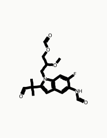 COC(COC=O)Cn1c(C(C)(C)C=O)cc2cc(NC=O)c(F)cc21